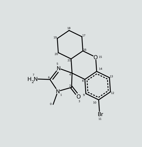 CN1C(=O)C2(N=C1N)c1cc(Br)ccc1OC1CCCCC12